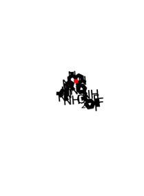 Cc1cc(-n2nc(CN(C)C3CCN(C)CC3)cc2Nc2cc(NC(=O)c3cccc(C(F)(F)F)c3)ccc2C)nc(N)n1